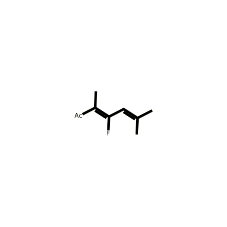 CC(=O)/C(C)=C(\F)C=C(C)C